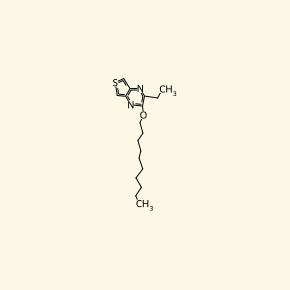 CCCCCCCCCCOc1nc2cscc2nc1CC